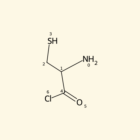 NC(CS)C(=O)Cl